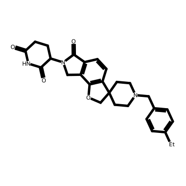 CCc1ccc(CN2CCC3(CC2)COc2c3ccc3c2CN(C2CCC(=O)NC2=O)C3=O)cc1